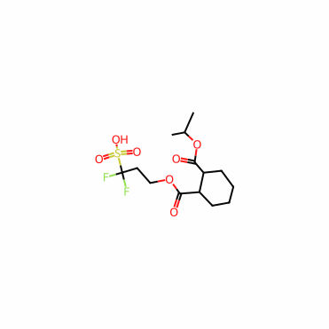 CC(C)OC(=O)C1CCCCC1C(=O)OCCC(F)(F)S(=O)(=O)O